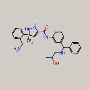 CC(O)CNC(c1ccccc1)c1cccc(NC(=O)C2=CC(c3ccccc3CN)(C(F)(F)F)NN2)c1